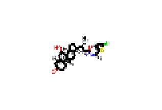 CCC(NC(=O)C[C@@H](C)C1CC[C@H]2[C@@H]3[C@H](O)C[C@@H]4CC(=O)CC[C@]4(C)[C@H]3CC[C@]12C)c1ccc(Cl)s1